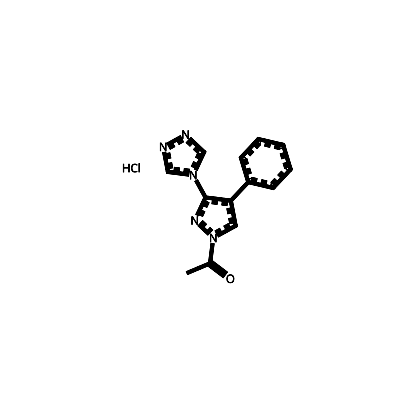 CC(=O)n1cc(-c2ccccc2)c(-n2cnnc2)n1.Cl